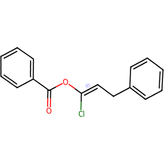 O=C(O/C(Cl)=C/Cc1ccccc1)c1ccccc1